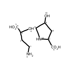 NCCC(O)C(=O)O.O=C(O)C1CC(O)CN1